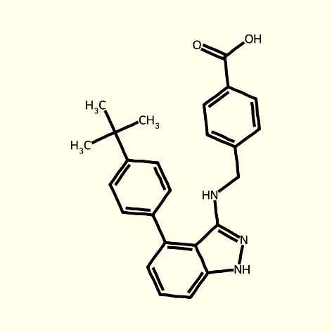 CC(C)(C)c1ccc(-c2cccc3[nH]nc(NCc4ccc(C(=O)O)cc4)c23)cc1